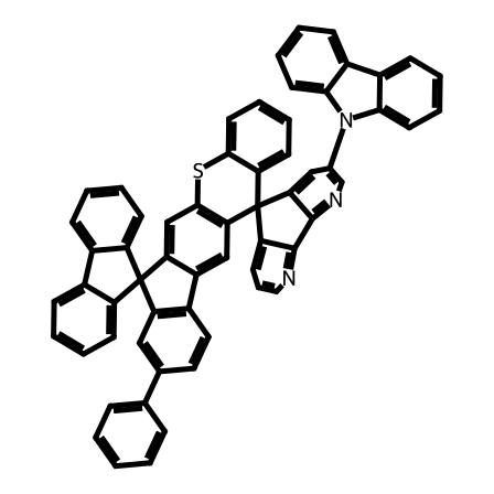 c1ccc(-c2ccc3c(c2)C2(c4ccccc4-c4ccccc42)c2cc4c(cc2-3)C2(c3ccccc3S4)c3cccnc3-c3ncc(-n4c5ccccc5c5ccccc54)cc32)cc1